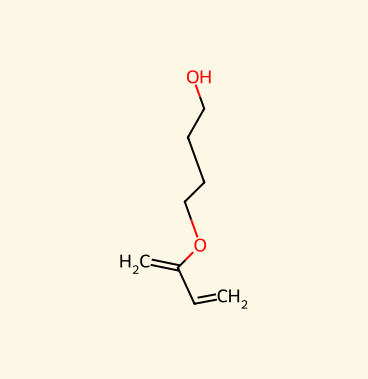 C=CC(=C)OCCCCO